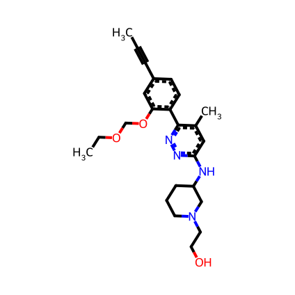 CC#Cc1ccc(-c2nnc(NC3CCCN(CCO)C3)cc2C)c(OCOCC)c1